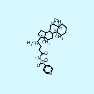 CC[C@H]1CC2C3CC[C@H]([C@H](C)CCC(=O)NS(=O)(=O)c4ccncc4)[C@@]3(C)CCC2[C@@]2(C)CCCC[C@@H]12